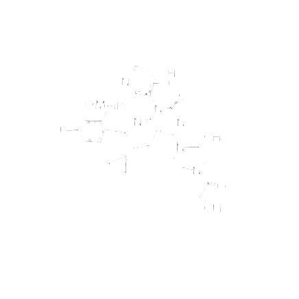 C=CC(=O)N1CCN(c2nc(=O)n(-c3c(C)ccnc3C(C)C)c3nc(-c4ccc(F)cc4OC)c(C4CC4)cc23)C(C)C1